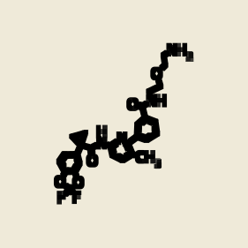 Cc1ccc(NC(=O)C2(c3ccc4c(c3)OC(F)(F)O4)CC2)nc1-c1cccc(C(=O)NCCOCCN)c1